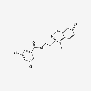 Cc1c2ccc(=O)cc-2onc1CCNC(=O)c1cc(Cl)cc(Cl)c1